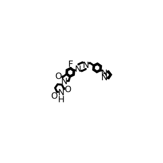 O=C1CCC(N2Cc3cc(N4CCN(Cc5ccc(-n6cccn6)cc5)CC4)c(F)cc3C2=O)C(=O)N1